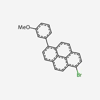 COc1cccc(-c2ccc3ccc4c(Br)ccc5ccc2c3c54)c1